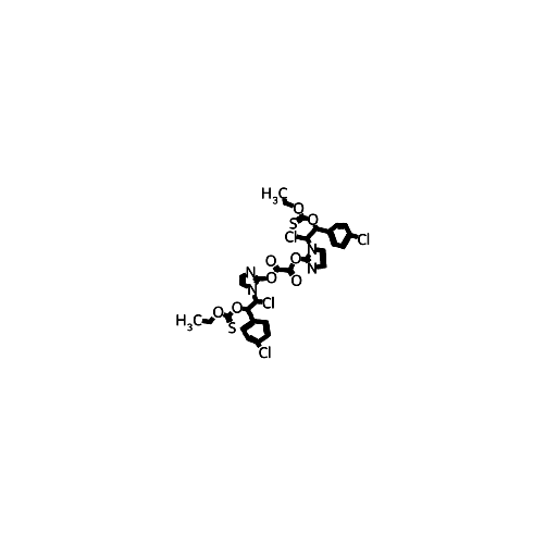 CCOC(=S)OC(c1ccc(Cl)cc1)C(Cl)n1ccnc1OC(=O)C(=O)Oc1nccn1C(Cl)C(OC(=S)OCC)c1ccc(Cl)cc1